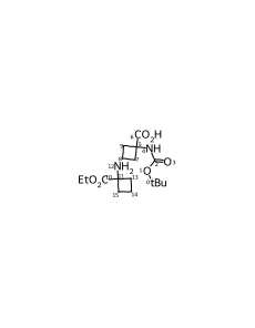 CC(C)(C)OC(=O)NC1(C(=O)O)CCC1.CCOC(=O)C1(N)CCC1